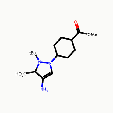 COC(=O)C1CCC(N2C=C(N)C(C(=O)O)N2C(C)(C)C)CC1